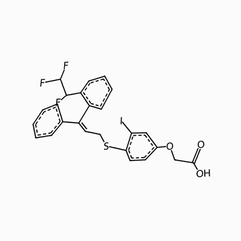 O=C(O)COc1ccc(SCC=C(c2ccccc2)c2ccccc2C(F)C(F)F)c(I)c1